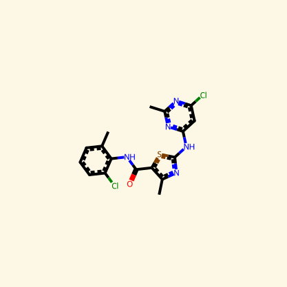 Cc1nc(Cl)cc(Nc2nc(C)c(C(=O)Nc3c(C)cccc3Cl)s2)n1